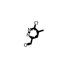 Cc1cc(C=O)nnc1Cl